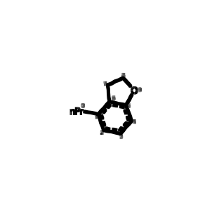 CCCc1cccc2c1CCO2